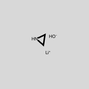 C1CN1.[Li+].[OH-]